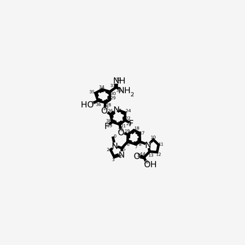 CN1CC=NC1c1cc(N2CCCC2C(=O)O)ccc1Oc1c(F)cnc(Oc2cc(C(=N)N)ccc2O)c1F